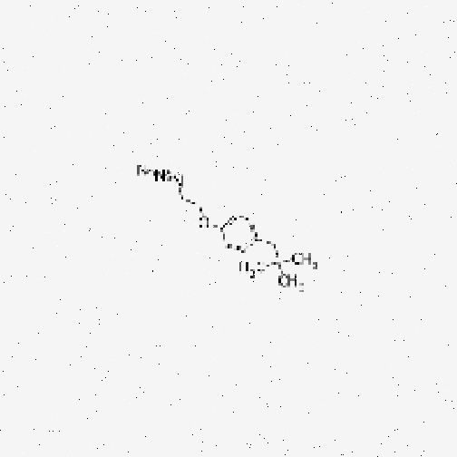 CC(C)(C)Cc1ccc(OCCN=[N+]=[N-])cc1